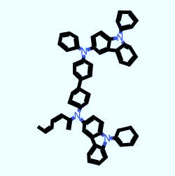 C=C(/C=C\C=C/C)N(c1ccc(-c2ccc(N(c3ccccc3)c3ccc4c(c3)c3ccccc3n4-c3ccccc3)cc2)cc1)c1ccc2c(c1)c1ccccc1n2C1=CC=CCC1